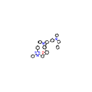 c1ccc(-c2cccc(N(c3ccccc3)c3ccc(-c4ccc5c(c4)c4cc(-c6cccc7c6oc6c(-c8nc(-c9ccccc9)nc(-c9ccccc9)n8)cccc67)ccc4n5-c4ccccc4)cc3)c2)cc1